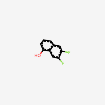 Oc1cccc2cc(F)c(F)cc12